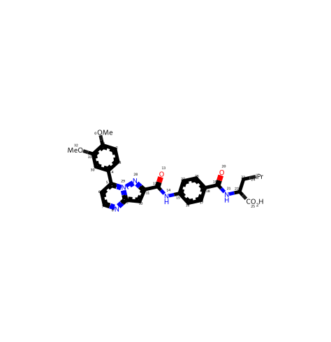 COc1ccc(-c2ccnc3cc(C(=O)Nc4ccc(C(=O)NC(CC(C)C)C(=O)O)cc4)nn23)cc1OC